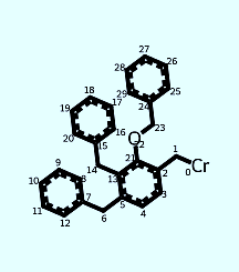 [Cr][CH2]c1ccc(Cc2ccccc2)c(Cc2ccccc2)c1OCc1ccccc1